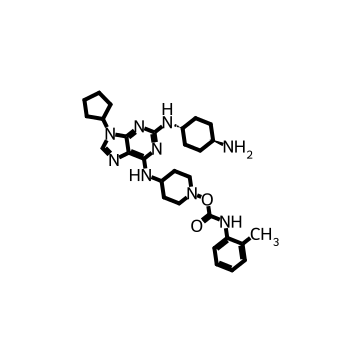 Cc1ccccc1NC(=O)ON1CCC(Nc2nc(N[C@H]3CC[C@H](N)CC3)nc3c2ncn3C2CCCC2)CC1